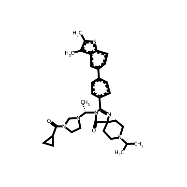 Cc1sc2ccc(-c3ccc(C4=NC5(CCN(C(C)C)CC5)C(=O)N4[C@@H](C)N4CCN(C(=O)C5CC5)C4)cc3)cc2c1C